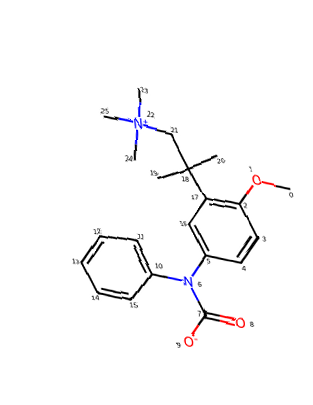 COc1ccc(N(C(=O)[O-])c2ccccc2)cc1C(C)(C)C[N+](C)(C)C